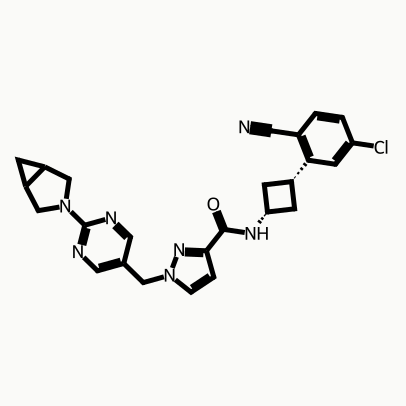 N#Cc1ccc(Cl)cc1[C@H]1C[C@@H](NC(=O)c2ccn(Cc3cnc(N4CC5CC5C4)nc3)n2)C1